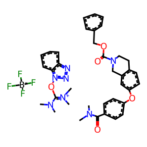 CN(C)C(=O)c1ccc(Oc2ccc3c(c2)CN(C(=O)OCc2ccccc2)CC3)cc1.CN(C)C(On1nnc2ccccc21)=[N+](C)C.F[B-](F)(F)F